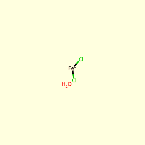 O.[Cl][Fe+][Cl]